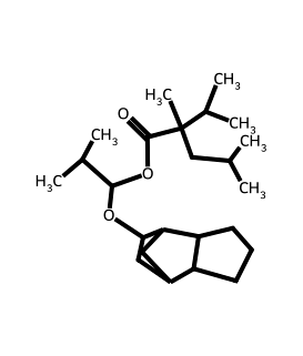 CC(C)CC(C)(C(=O)OC(OC1CC2CC1C1CCCC21)C(C)C)C(C)C